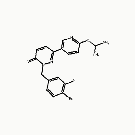 CCc1ccc(Cn2nc(-c3ccc(OC(P)P)nc3)ccc2=O)cc1F